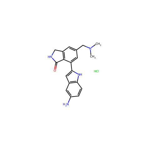 CN(C)Cc1cc2c(c(-c3cc4cc(N)ccc4[nH]3)c1)C(=O)NC2.Cl